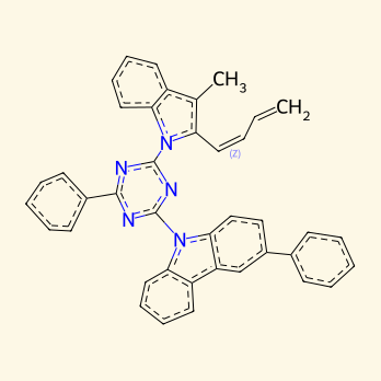 C=C/C=C\c1c(C)c2ccccc2n1-c1nc(-c2ccccc2)nc(-n2c3ccccc3c3cc(-c4ccccc4)ccc32)n1